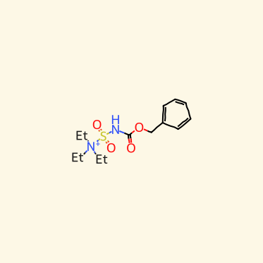 CC[N+](CC)(CC)S(=O)(=O)NC(=O)OCc1ccccc1